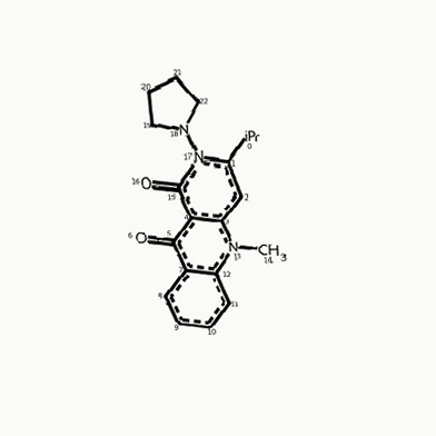 CC(C)c1cc2c(c(=O)c3ccccc3n2C)c(=O)n1N1CCCC1